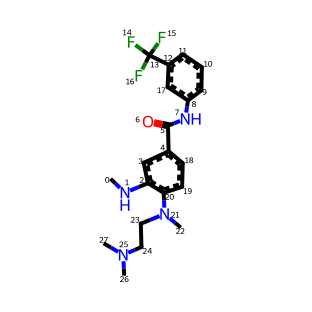 CNc1cc(C(=O)Nc2cccc(C(F)(F)F)c2)ccc1N(C)CCN(C)C